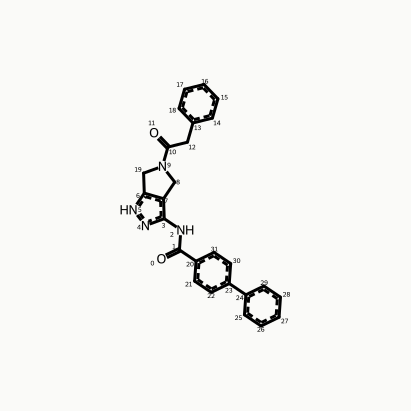 O=C(Nc1n[nH]c2c1CN(C(=O)Cc1ccccc1)C2)c1ccc(-c2ccccc2)cc1